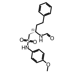 COc1ccc(NS(=O)(=O)C[C@H](CCc2ccccc2)NC=O)cc1